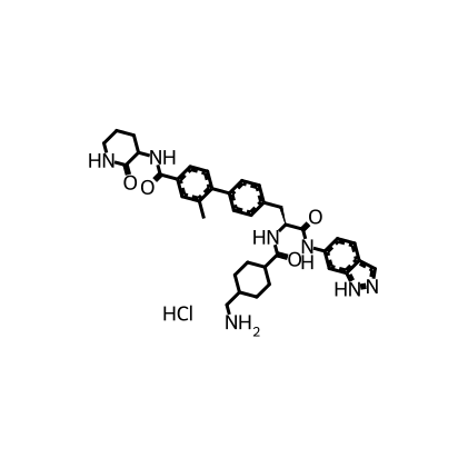 Cc1cc(C(=O)NC2CCCNC2=O)ccc1-c1ccc(C[C@H](NC(=O)C2CCC(CN)CC2)C(=O)Nc2ccc3cn[nH]c3c2)cc1.Cl